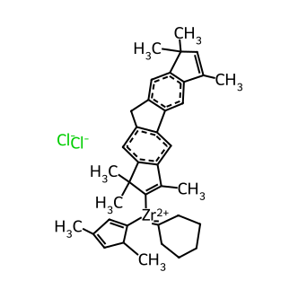 CC1=CC(C)[C]([Zr+2]([C]2=C(C)c3cc4c(cc3C2(C)C)Cc2cc3c(cc2-4)C(C)=CC3(C)C)=[C]2CCCCC2)=C1.[Cl-].[Cl-]